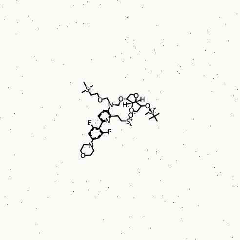 C[S+]([O-])CCc1nc(-c2c(F)cc(N3CCOCC3)cc2F)ccc1N(COCC[Si](C)(C)C)CO[C@@H]1CO[C@@H]2C(O[Si](C)(C)C(C)(C)C)CO[C@@H]21